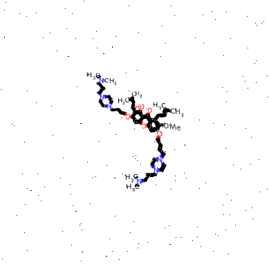 COc1c(OCCCCN2CCN(CCCN(C)C)CC2)cc2oc3cc(OCCCCN4CCN(CCCN(C)C)CC4)c(CC=C(C)C)c(O)c3c(=O)c2c1CC=C(C)C